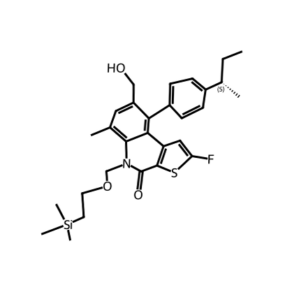 CC[C@H](C)c1ccc(-c2c(CO)cc(C)c3c2c2cc(F)sc2c(=O)n3COCC[Si](C)(C)C)cc1